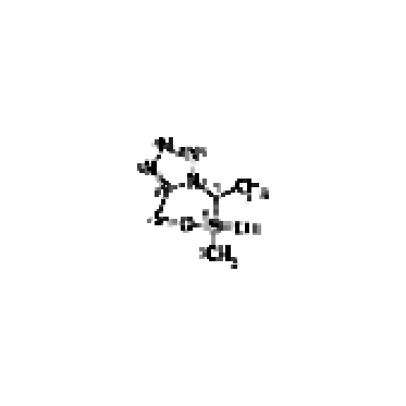 CC(n1nnnc1[S])S(C)(=O)=O